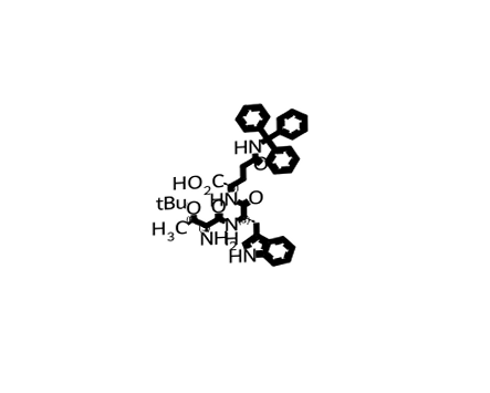 C[C@@H](OC(C)(C)C)[C@H](N)C(=O)N[C@@H](Cc1c[nH]c2ccccc12)C(=O)N[C@@H](CCC(=O)NC(c1ccccc1)(c1ccccc1)c1ccccc1)C(=O)O